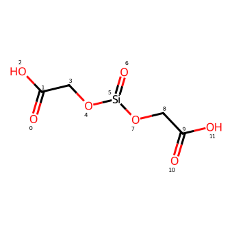 O=C(O)CO[Si](=O)OCC(=O)O